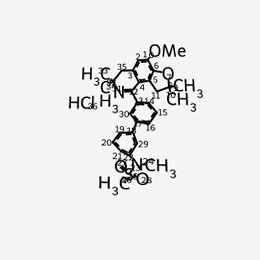 COc1cc2c(c3c1OC(C)(C)C3)C(c1cccc(-c3cccc(N(C)S(C)(=O)=O)c3)c1)=NC(C)(C)C2.Cl